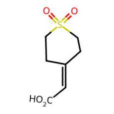 O=C(O)C=C1CCS(=O)(=O)CC1